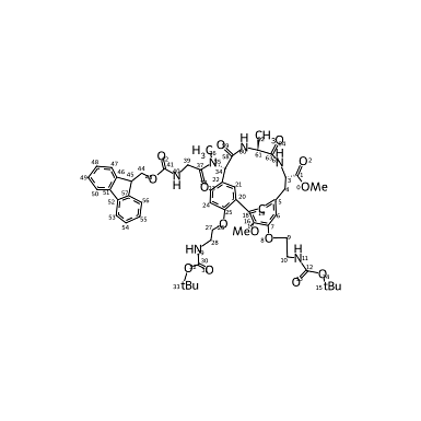 COC(=O)[C@@H]1Cc2cc(OCCNC(=O)OC(C)(C)C)c(OC)c(c2)-c2cc(ccc2OCCNC(=O)OC(C)(C)C)[C@H](N(C)C(=O)CNC(=O)OCC2c3ccccc3-c3ccccc32)C(=O)N[C@@H](C)C(=O)N1